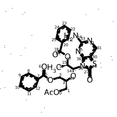 CC(=O)OC[C@@H](COC(=O)c1ccccc1)O[C@H]([C@@H](C)OC(=O)c1ccccc1)n1c(=O)sc2cnc(N)nc21